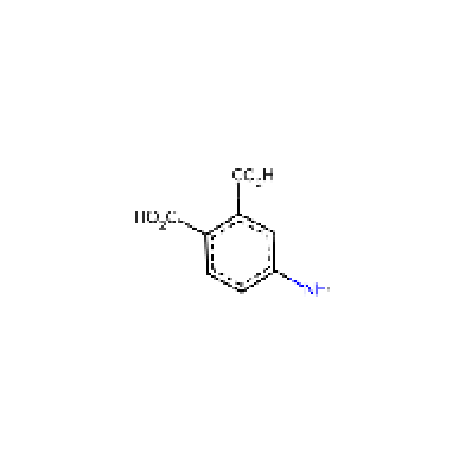 [NH]c1ccc(C(=O)O)c(C(=O)O)c1